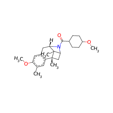 COc1cc2c(cc1C)[C@@]1(C)CC3N(C(=O)C4CCC(OC)CC4)[C@@H](C2)C31C